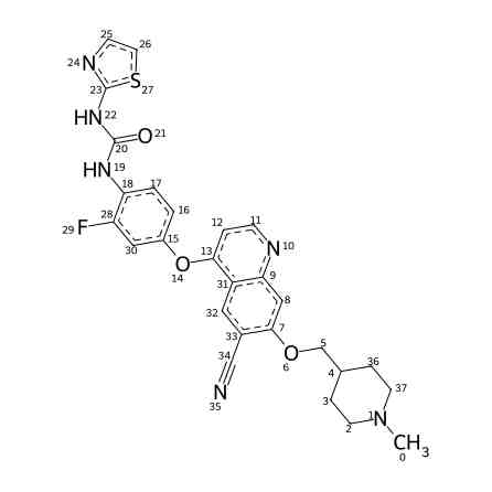 CN1CCC(COc2cc3nccc(Oc4ccc(NC(=O)Nc5nccs5)c(F)c4)c3cc2C#N)CC1